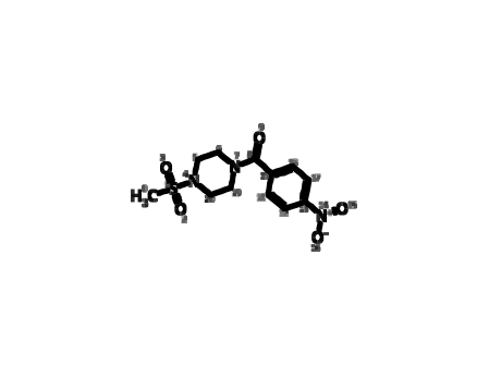 CS(=O)(=O)N1CCN(C(=O)c2ccc([N+](=O)[O-])cc2)CC1